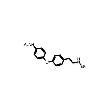 CCCNCCc1ccc(Oc2ccc(NC(C)=O)cc2)cc1